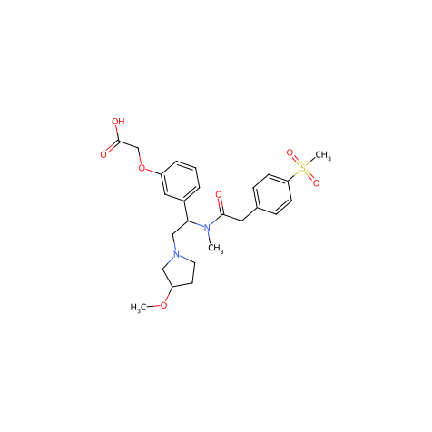 COC1CCN(CC(c2cccc(OCC(=O)O)c2)N(C)C(=O)Cc2ccc(S(C)(=O)=O)cc2)C1